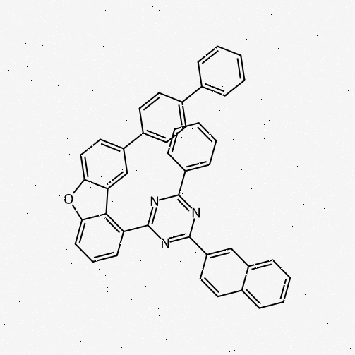 c1ccc(-c2ccc(-c3ccc4oc5cccc(-c6nc(-c7ccccc7)nc(-c7ccc8ccccc8c7)n6)c5c4c3)cc2)cc1